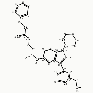 C[C@H](CCNC(=O)OCc1ccccc1)OC1=Cc2c(-c3cccc(CO)c3)nn(C3CCCCO3)c2CC1